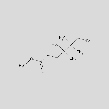 COC(=O)CCC(C)(C)C(C)(C)CBr